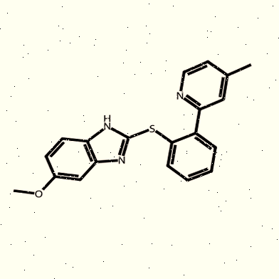 COc1ccc2[nH]c(Sc3ccccc3-c3cc(C)ccn3)nc2c1